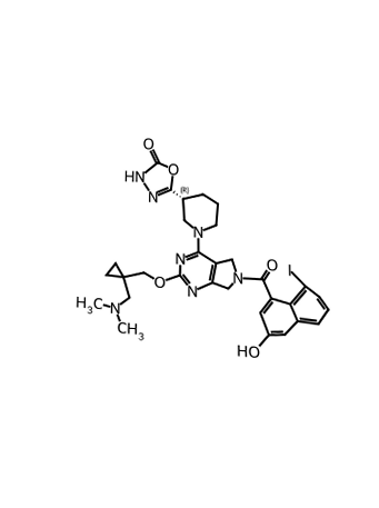 CN(C)CC1(COc2nc3c(c(N4CCC[C@@H](c5n[nH]c(=O)o5)C4)n2)CN(C(=O)c2cc(O)cc4cccc(I)c24)C3)CC1